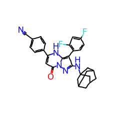 N#Cc1ccc(-c2cc(=O)n3nc(NC45CC6CC(CC(C6)C4)C5)c(-c4ccc(F)cc4F)c3[nH]2)cc1